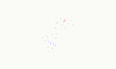 O=P(c1ccccc1)(c1ccccc1)c1cccc2c(-c3ccc4c(c3)c3ccccc3n3c5ccccc5nc43)cccc12